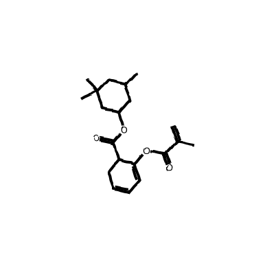 C=C(C)C(=O)OC1=CC=CCC1C(=O)OC1CC(C)CC(C)(C)C1